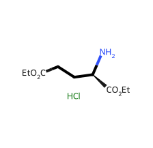 CCOC(=O)CC[C@@H](N)C(=O)OCC.Cl